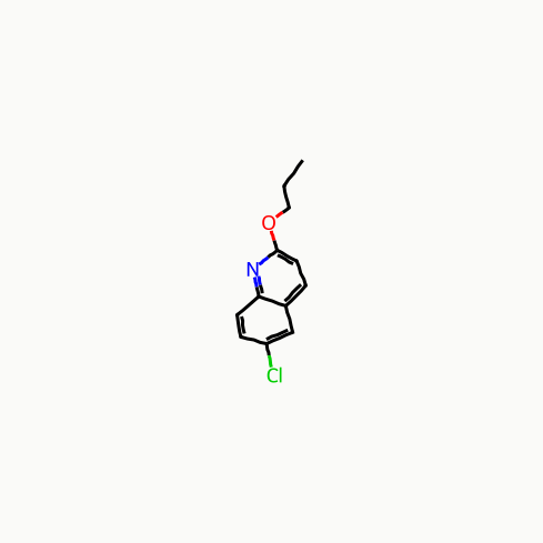 CCCOc1ccc2cc(Cl)ccc2n1